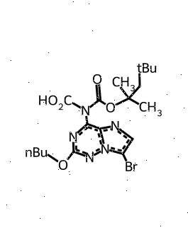 CCCCOc1nc(N(C(=O)O)C(=O)OC(C)(C)CC(C)(C)C)c2ncc(Br)n2n1